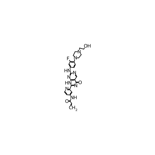 C=CC(=O)Nc1ccnc(-c2nc(=O)c3cnc(Nc4ccc(N5CCN(CCO)CC5)c(F)c4)nc3[nH]2)c1